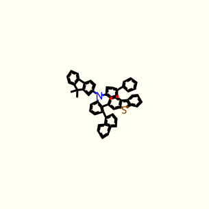 CC1(C)c2ccccc2-c2ccc(N(c3ccc(-c4ccccc4)cc3)c3cccc(-c4cccc5ccccc45)c3-c3ccc4c(c3)sc3ccccc34)cc21